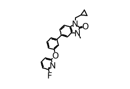 Cn1c(=O)n(CC2CC2)c2ccc(-c3cccc(Oc4cccc(F)n4)c3)cc21